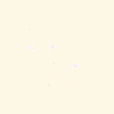 CCC1CN(C(=O)C(C)(C)NC(=O)OC(C)(C)C)CCN1